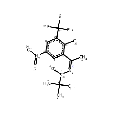 C/C(=N/[S@+]([O-])C(C)(C)C)c1cc([N+](=O)[O-])cc(C(F)(F)F)c1Cl